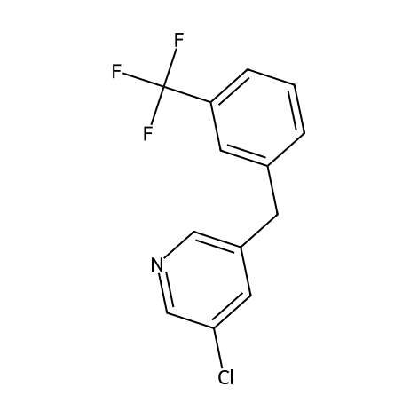 FC(F)(F)c1cccc(Cc2cncc(Cl)c2)c1